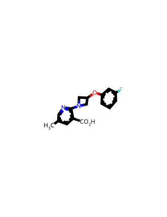 Cc1cnc(N2CC(Oc3cccc(F)c3)C2)c(C(=O)O)c1